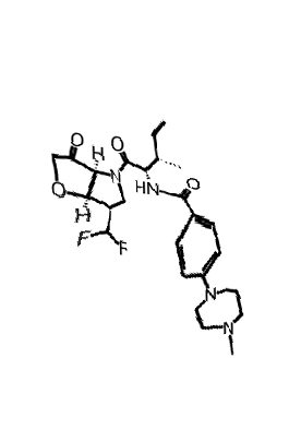 CC[C@H](C)[C@H](NC(=O)c1ccc(N2CCN(C)CC2)cc1)C(=O)N1C[C@@H](C(F)F)[C@H]2OCC(=O)[C@H]21